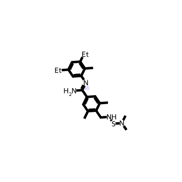 CCc1cc(CC)c(C)c(/N=C(\N)c2cc(C)c(CNSN(C)C)c(C)c2)c1